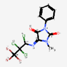 CN1C(=O)N(c2ccccc2)C(=O)C1=NC(Cl)C(Cl)(Cl)C(Br)(Br)Br